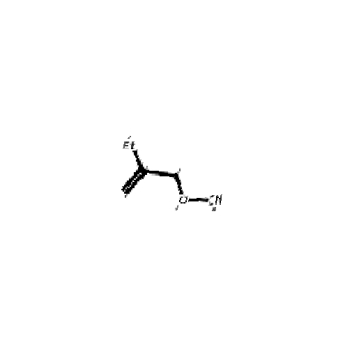 C=C(CC)COC#N